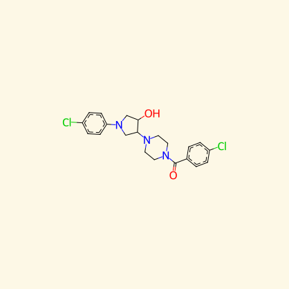 O=C(c1ccc(Cl)cc1)N1CCN(C2CN(c3ccc(Cl)cc3)CC2O)CC1